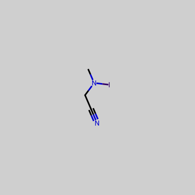 CN(I)CC#N